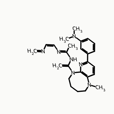 C=N/C=C\N=C(/C)NC(=C)N1CCCCN(C)c2ccc(-c3cccc(N(C)C)c3)nc21